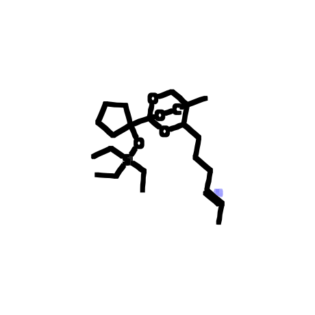 C/C=C/CCCC1OC2(C3(O[Si](CC)(CC)CC)CCCC3)OCC1(C)CO2